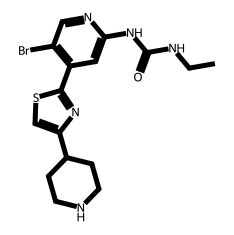 CCNC(=O)Nc1cc(-c2nc(C3CCNCC3)cs2)c(Br)cn1